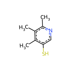 Cc1ncc(S)c(C)c1C